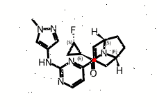 Cn1cc(Nc2nccc(C3=C[C@@H]4CC[C@H](C3)N4C(=O)[C@H]3C[C@@H]3F)n2)cn1